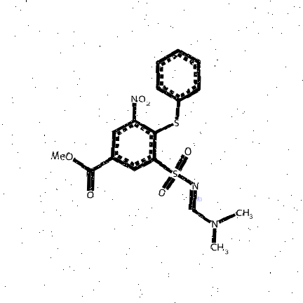 COC(=O)c1cc([N+](=O)[O-])c(Sc2ccccc2)c(S(=O)(=O)/N=C/N(C)C)c1